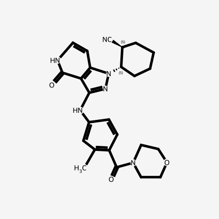 Cc1cc(Nc2nn([C@H]3CCCC[C@@H]3C#N)c3cc[nH]c(=O)c23)ccc1C(=O)N1CCOCC1